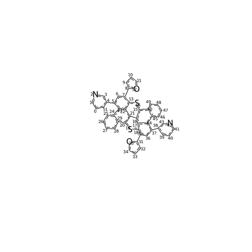 c1cncc(-c2cc(-c3ccco3)c3sc4c5c6c(sc7c-5c3c2c2ccccc72)c(-c2ccco2)cc(-c2cccnc2)c6c2ccccc42)c1